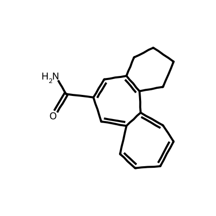 NC(=O)C1=CC2=C(CCCC2)C2=CC=CC=CC2=C1